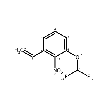 C=[C]c1cccc(OC(F)F)c1[N+](=O)[O-]